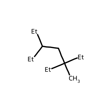 CCC(CC)CC(C)(CC)CC